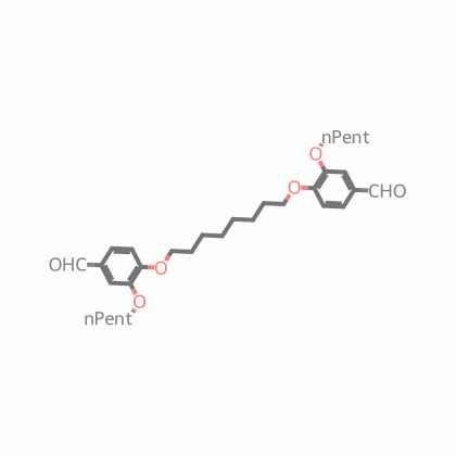 CCCCCOc1cc(C=O)ccc1OCCCCCCCCOc1ccc(C=O)cc1OCCCCC